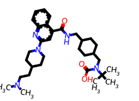 CN(C)CCC1CCN(c2cc(C(=O)NCC3CCC(CN(C(=O)O)C(C)(C)C)CC3)c3ccccc3n2)CC1